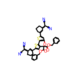 N#CC(C#N)=C1C=C(c2cc3c(s2)-c2sc(C4=CC(=C(C#N)C#N)CCC4)cc2C(C(=O)OCc2ccccc2)(C(=O)OCc2ccccc2)O3)CCC1